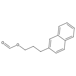 O=COCCCc1ccc2ccccc2c1